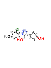 OCc1c(-c2ccc(O)cc2)nnn1-c1ccc(C(F)(F)F)cc1Cl